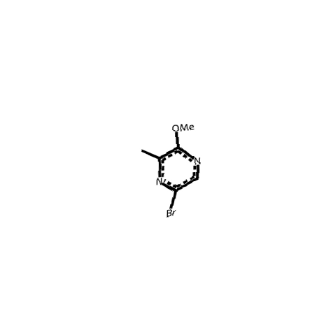 COc1ncc(Br)nc1C